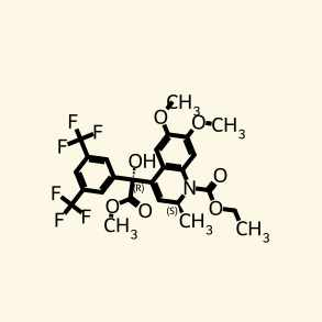 CCOC(=O)N1c2cc(OC)c(OC)cc2C([C@@](O)(C(=O)OC)c2cc(C(F)(F)F)cc(C(F)(F)F)c2)=C[C@@H]1C